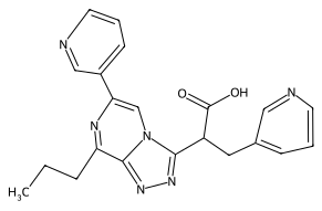 CCCc1nc(-c2cccnc2)cn2c(C(Cc3cccnc3)C(=O)O)nnc12